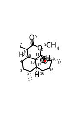 C.C[C@@H]1CC[C@H]2[C@@H](C)C(=O)O[C@@H]3O[C@]4(C)CC[C@@H]1[C@]32OO4